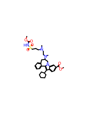 COC(=O)NS(=O)(=O)CCCN(C)CCN(C)C1Cc2ccccc2-c2c(C3CCCCC3)c3ccc(C(=O)OC)cc3n2C1